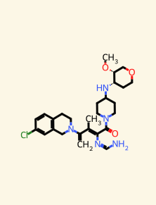 C=C(/C(C)=C(\N=C/N)C(=O)N1CCC(N[C@H]2CCOC[C@H]2OC)CC1)N1CCc2ccc(Cl)cc2C1